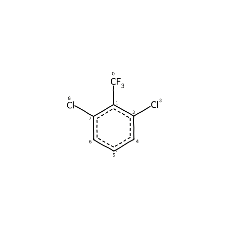 FC(F)(F)c1c(Cl)c[c]cc1Cl